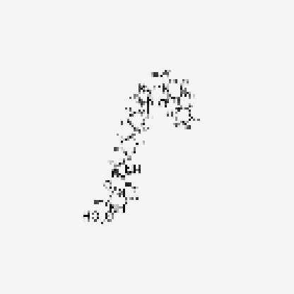 C[C@H](NC(=O)O)C(=O)N1CCC[C@H]1c1ncc(-c2ccc(-c3ccc(-c4cnc([C@@H]5CCCN5C(=O)[C@@H](c5ccccc5)N(C)C)[nH]4)cc3)cc2)[nH]1